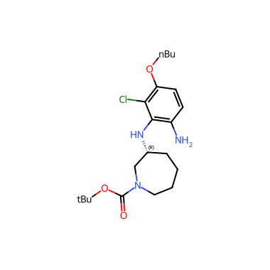 CCCCOc1ccc(N)c(N[C@@H]2CCCCN(C(=O)OC(C)(C)C)C2)c1Cl